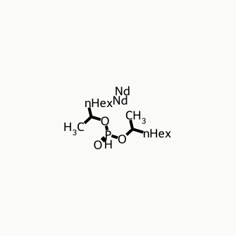 CCCCCCC(C)O[PH](=O)OC(C)CCCCCC.[Nd].[Nd]